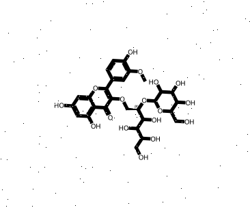 COc1cc(-c2oc3cc(O)cc(O)c3c(=O)c2OC[C@@H](OC2OC(CO)C(O)C(O)C2O)C(O)C(O)C(O)CO)ccc1O